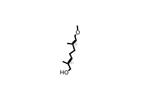 COC/C=C(\C)CC/C=C(\C)CO